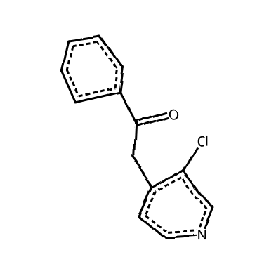 O=C(Cc1ccncc1Cl)c1ccccc1